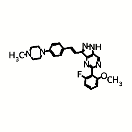 COc1cccc(F)c1-c1ncc2[nH]nc(/C=C/c3ccc(N4CCN(C)CC4)cc3)c2n1